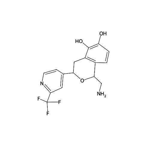 NCC1OC(c2ccnc(C(F)(F)F)c2)Cc2c1ccc(O)c2O